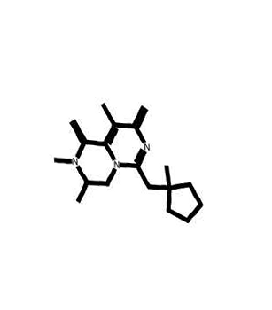 C=C1N=C(CC2(C)CCCC2)N2CC(C)N(C)C(=C)C2=C1C